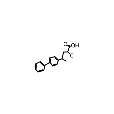 CC(CC(Cl)C(=O)O)c1ccc(-c2ccccc2)cc1